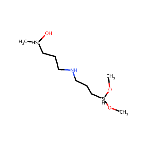 CO[SiH](CCCNCCC[SiH](C)O)OC